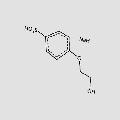 O=S(=O)(O)c1ccc(OCCO)cc1.[NaH]